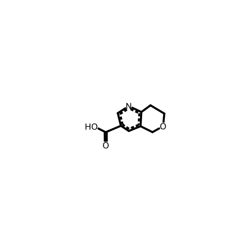 O=C(O)c1cnc2c(c1)COCC2